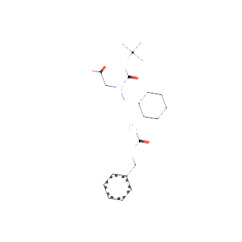 CC(C)(C)OC(=O)N(CC(=O)O)C[C@@H]1CCCC[C@@H]1NC(=O)OCc1ccccc1